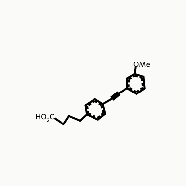 COc1cccc(C#Cc2ccc(CCCC(=O)O)cc2)c1